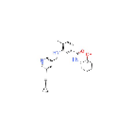 Cc1ccc(C(=O)N[C@H]2CCCC[C@@H]2O)cc1NCc1cncc(C#CC2CC2)c1